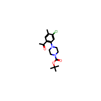 CC(=O)c1cc(C)c(Cl)cc1N1CCN(C(=O)OC(C)(C)C)CC1